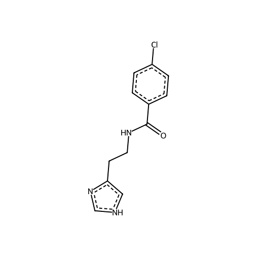 O=C(NCCc1c[nH]cn1)c1ccc(Cl)cc1